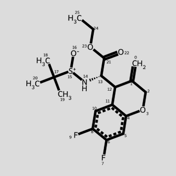 C=C1COc2cc(F)c(F)cc2C1[C@H](N[S+]([O-])C(C)(C)C)C(=O)OCC